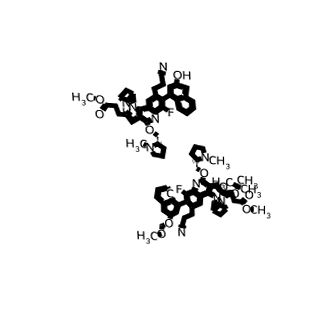 COC(=O)CCc1cc2c(OC[C@@H]3CCCN3C)nc3c(F)c(-c4cc(O)cc5ccccc45)c(CCC#N)cc3c2n1C1C2CNC1C2.COCOc1cc(-c2c(CCC#N)cc3c(nc(OC[C@@H]4CCCN4C)c4cc(CCC(=O)OC)n(C5C6CC5N(C(=O)OC(C)(C)C)C6)c43)c2F)c2ccccc2c1